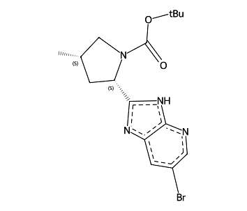 C[C@H]1C[C@@H](c2nc3cc(Br)cnc3[nH]2)N(C(=O)OC(C)(C)C)C1